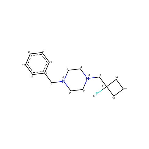 FC1(CN2CCN(Cc3ccccc3)CC2)CCC1